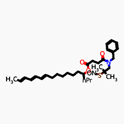 CC=CC=CC=CCCCCCCC(CCC)OC(=O)CCC(=O)N(Cc1ccccc1)CC(C)(C)SN=O